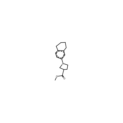 COC(=O)C1CCN(c2ccc3c(c2)CCCC3)C1